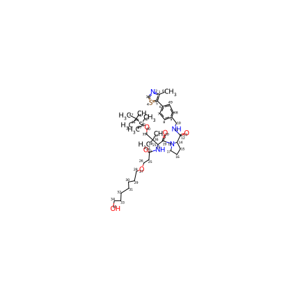 Cc1ncsc1-c1ccc(CNC(=O)C2CCCN2C(=O)[C@@H](NC(=O)CCOCCCCCCCO)C(C)(C)CO[Si](C)(C)C(C)(C)C)cc1